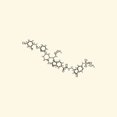 CNS(=O)(=O)Cc1ccc2[nH]cc(CCNC(=O)c3ccc4c(c3)nc(CN3CCC(c5cccc(OCc6ccc(Cl)cc6F)n5)CC3)n4CCOC)c2c1